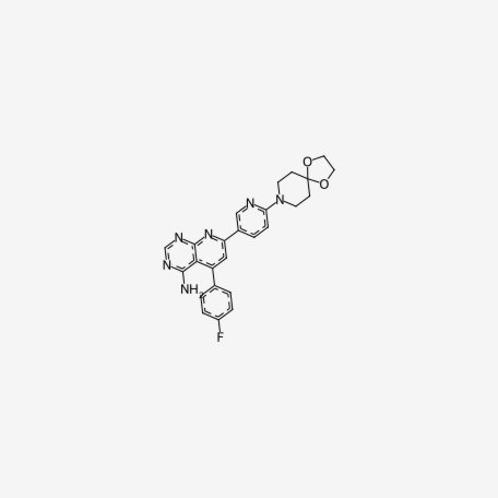 Nc1ncnc2nc(-c3ccc(N4CCC5(CC4)OCCO5)nc3)cc(-c3ccc(F)cc3)c12